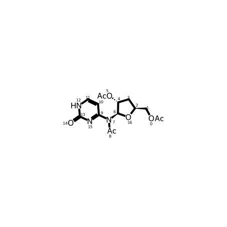 CC(=O)OC[C@@H]1C[C@@H](OC(C)=O)[C@H](N(C(C)=O)c2cc[nH]c(=O)n2)O1